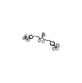 [N-]=[N+]=C(C(=O)CCCc1ccc(S(=O)(=O)Cl)cc1)C(=O)CCCc1ccc(S(=O)(=O)Cl)cc1